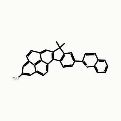 CC(C)(C)c1cc2ccc3cc4c(c5ccc(c1)c2c35)-c1ccc(-c2ccc3ccccc3n2)cc1C4(C)C